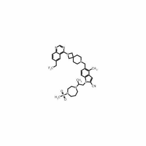 Cc1c(CN2CCC3(CC2)CN(c2ncnc4ccc(CC(F)(F)F)cc24)C3)ccc2c1cc(C#N)n2CC(C)N1CCCN(S(C)(=O)=O)CC1